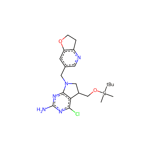 CC(C)(C)[Si](C)(C)OCC1CN(Cc2cnc3c(c2)OCC3)c2nc(N)nc(Cl)c21